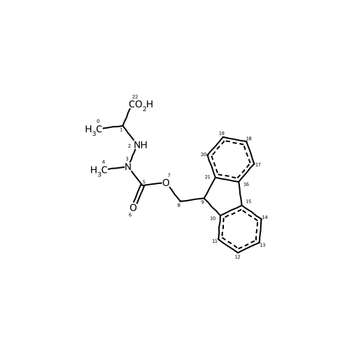 CC(NN(C)C(=O)OCC1c2ccccc2-c2ccccc21)C(=O)O